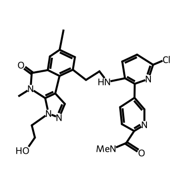 CNC(=O)c1ccc(-c2nc(Cl)ccc2NCCc2cc(C)cc3c(=O)n(C)c4c(cnn4CCO)c23)cn1